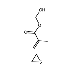 C1CS1.C=C(C)C(=O)OCO